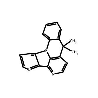 CC1(C)c2ccccc2-p2c3cccnc3c3nccc1c32